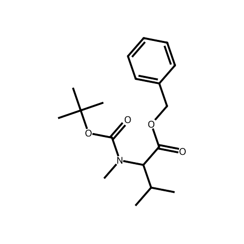 CC(C)C(C(=O)OCc1ccccc1)N(C)C(=O)OC(C)(C)C